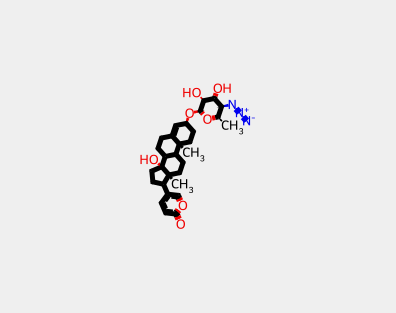 C[C@@H]1O[C@@H](O[C@@H]2C=C3CCC4C(CC[C@]5(C)C(c6ccc(=O)oc6)CC[C@]45O)[C@@]3(C)CC2)[C@H](O)C(O)[C@H]1N=[N+]=[N-]